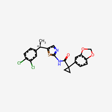 C[C@H](c1ccc(Cl)c(Cl)c1)c1cnc(NC(=O)C2(c3ccc4c(c3)OCO4)CC2)s1